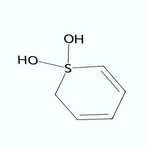 OS1(O)C=CC=CC1